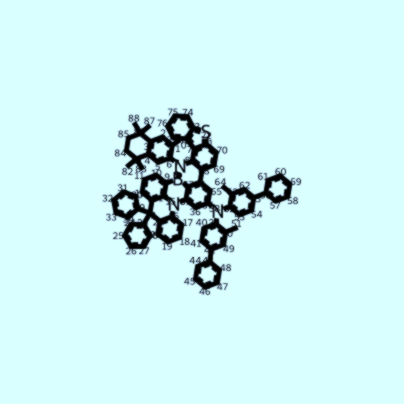 Cc1cc2c(cc1N1B3c4cccc5c4N(c4ccccc4C5(c4ccccc4)c4ccccc4)c4cc(N(c5ccc(-c6ccccc6)cc5C)c5ccc(-c6ccccc6)cc5C)cc(c43)-c3ccc4sc5ccccc5c4c31)C(C)(C)CCC2(C)C